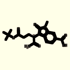 Cn1c(=O)n([C@H](CCC(=O)OC(C)(C)C)C(N)=O)c2ccc(C(=O)O)cc21